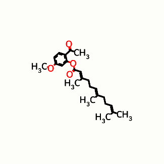 COc1ccc(C(C)=O)c(OC(=O)/C=C(\C)CC/C=C(\C)CCC=C(C)C)c1